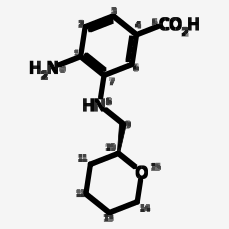 Nc1ccc(C(=O)O)cc1NC[C@@H]1CCCCO1